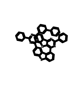 c1ccc(-c2cccc(-c3nc(-c4ccccc4)nc(-c4ccc5sc6cccc(-c7nc(-c8ccccc8)nc8c7oc7ccccc78)c6c5c4)n3)c2)cc1